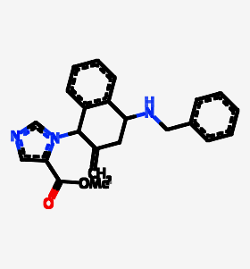 C=C1CC(NCc2ccccc2)c2ccccc2C1n1cncc1C(=O)OC